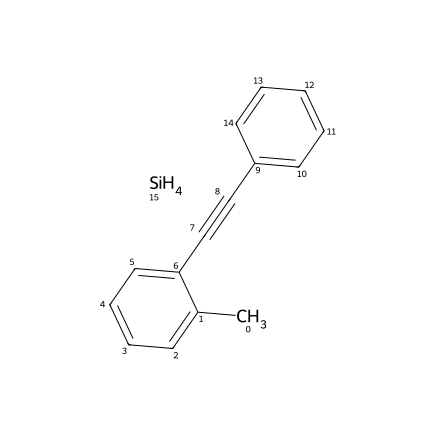 Cc1ccccc1C#Cc1ccccc1.[SiH4]